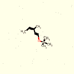 CC=C(C)C=CO[Si](C)(C)C